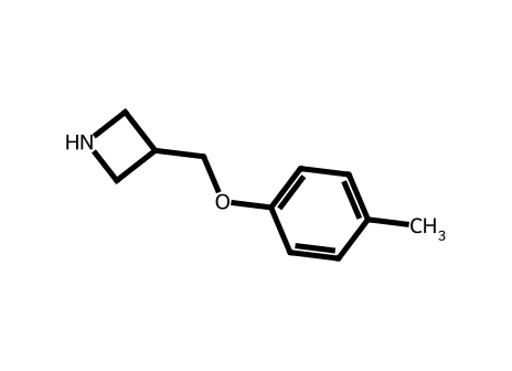 Cc1ccc(OCC2CNC2)cc1